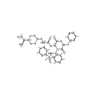 CS(=O)(NCC1C(=O)N(Cc2ccccc2)CC(=O)N1CC(=O)NCC1CCN(C(=N)N)CC1)(c1ccccc1)c1ccccc1